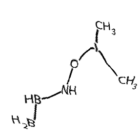 BBNOI(C)C